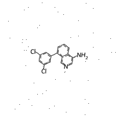 Nc1cncc2c(-c3cc(Cl)cc(Cl)c3)cccc12